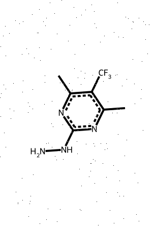 Cc1nc(NN)nc(C)c1C(F)(F)F